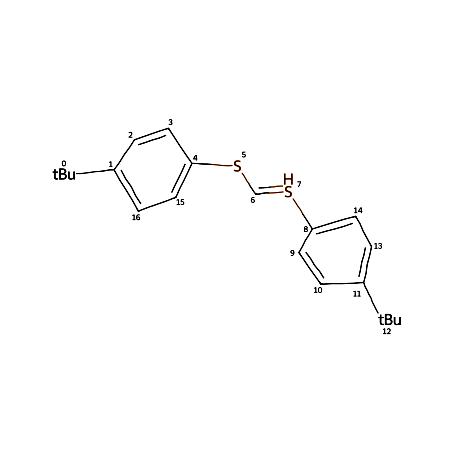 CC(C)(C)c1ccc(SC=[SH]c2ccc(C(C)(C)C)cc2)cc1